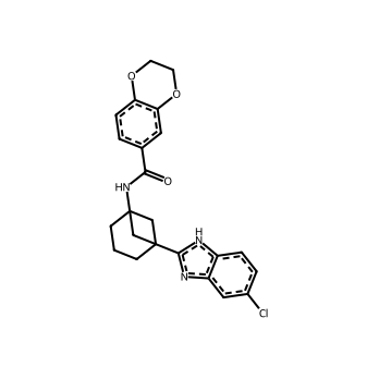 O=C(NC12CCCC(c3nc4cc(Cl)ccc4[nH]3)(C1)C2)c1ccc2c(c1)OCCO2